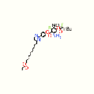 C=CC(=O)OCCCCCCCCCCCc1ccnc(-c2ccc(OC(=O)c3c(N)cc(OC(=O)[C@H](F)CCCC)c([N+](=O)[O-])c3F)cc2)n1